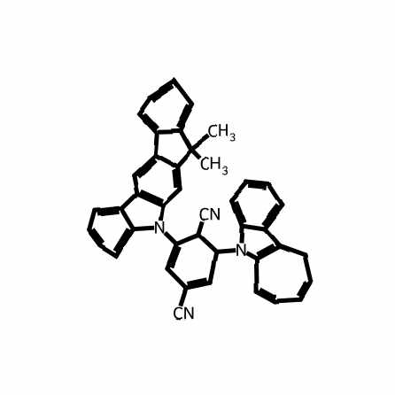 CC1(C)c2ccccc2-c2cc3c4ccccc4n(C4=CC(C#N)=CC(n5c6c(c7ccccc75)CC=CC=C6)C4C#N)c3cc21